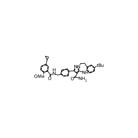 COc1ccc(C2CC2)cc1C(=O)NCc1ccc(-c2nn3c(c2C(N)=O)Nc2ccc(C(C)(C)C)cc2CC3)cc1